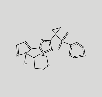 CC[N+]1(C2CCOCC2)N=CC=C1c1nc(C2(S(=O)(=O)c3ccccc3)CC2)no1